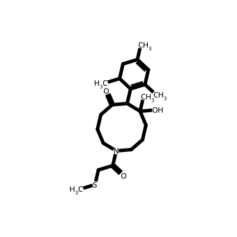 CSCC(=O)N1CCCC(=O)C(C2=C(C)C=C(C)CC2C)C(C)(O)CCC1